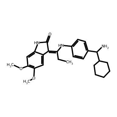 CC/C(Nc1ccc(C(N)C2CCCCC2)cc1)=C1/C(=O)Nc2cc(OC)c(OC)cc21